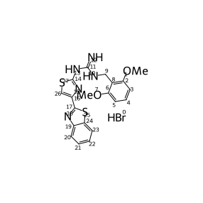 Br.COc1cccc(OC)c1CNC(=N)Nc1nc(-c2nc3ccccc3s2)cs1